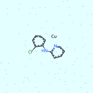 Clc1ccccc1Nc1ccccn1.[Cu]